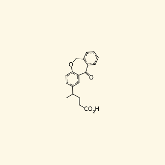 CC(CCC(=O)O)c1ccc2c(c1)C(=O)c1ccccc1CO2